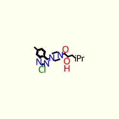 Cc1ccc2c(N3CCN(C(=O)C(O)CC(C)C)CC3)nc(Cl)nc2c1